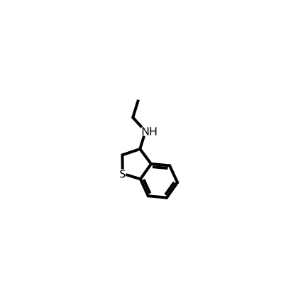 CCNC1CSc2ccccc21